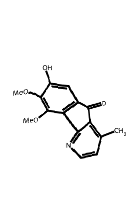 COc1c(O)cc2c(c1OC)-c1nccc(C)c1C2=O